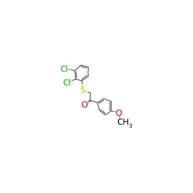 COc1ccc(C(=O)CSc2cccc(Cl)c2Cl)cc1